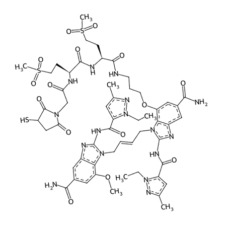 CCn1nc(C)cc1C(=O)Nc1nc2cc(C(N)=O)cc(OC)c2n1C/C=C/Cn1c(NC(=O)c2cc(C)nn2CC)nc2cc(C(N)=O)cc(OCCCNC(=O)[C@H](CCS(C)(=O)=O)NC(=O)[C@H](CCS(C)(=O)=O)NC(=O)CN3C(=O)CC(S)C3=O)c21